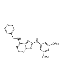 COc1cc(Nc2nc3c(NCc4ccccc4)nccn3n2)cc(OC)c1